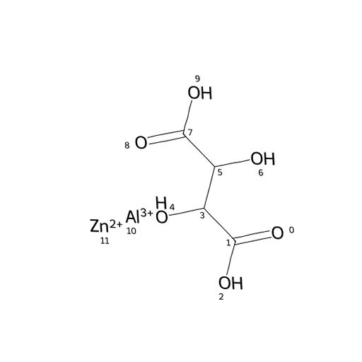 O=C(O)C(O)C(O)C(=O)O.[Al+3].[Zn+2]